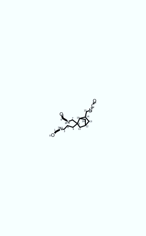 O=C=NCCCC1(CN=C=O)CC2CC(CN=C=O)C1C2